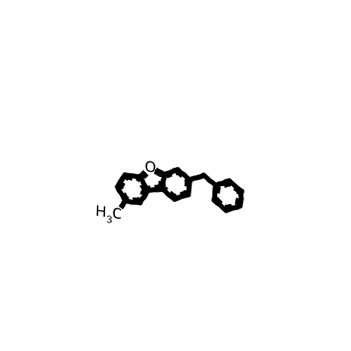 Cc1ccc2oc3cc(Cc4ccccc4)ccc3c2c1